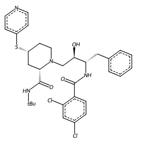 CC(C)(C)NC(=O)[C@@H]1C[C@H](Sc2ccncc2)CCN1C[C@@H](O)[C@H](Cc1ccccc1)NC(=O)c1ccc(Cl)cc1Cl